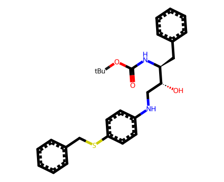 CC(C)(C)OC(=O)N[C@@H](Cc1ccccc1)[C@H](O)CNc1ccc(SCc2ccccc2)cc1